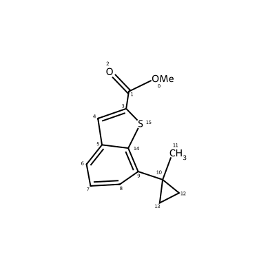 COC(=O)c1cc2cccc(C3(C)CC3)c2s1